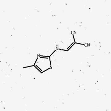 Cc1csc(NC=C(C#N)C#N)n1